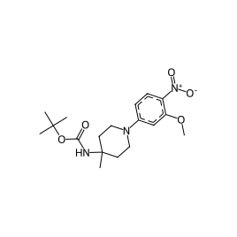 COc1cc(N2CCC(C)(NC(=O)OC(C)(C)C)CC2)ccc1[N+](=O)[O-]